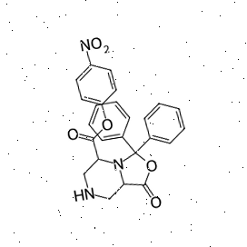 O=C(Oc1ccc([N+](=O)[O-])cc1)C1CNCC2C(=O)OC(c3ccccc3)(c3ccccc3)N12